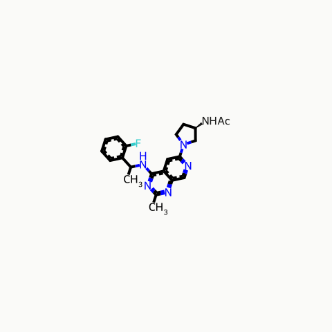 CC(=O)N[C@@H]1CCN(c2cc3c(NC(C)c4ccccc4F)nc(C)nc3cn2)C1